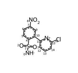 [NH]S(=O)(=O)c1ccc([N+](=O)[O-])cc1-c1cccc(Cl)n1